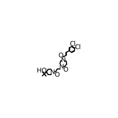 CC(C)(C)C1(O)CCN(C(=O)CCN2CCN(C(=O)/C=C/c3ccc(Cl)c(Cl)c3)CCC2=O)CC1